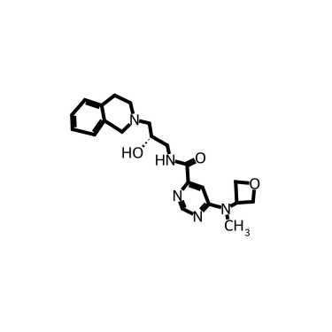 CN(c1cc(C(=O)NC[C@H](O)CN2CCc3ccccc3C2)ncn1)C1COC1